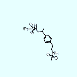 CC(CNS(=O)(=O)C(C)C)c1ccc(CCNS(C)(=O)=O)cc1